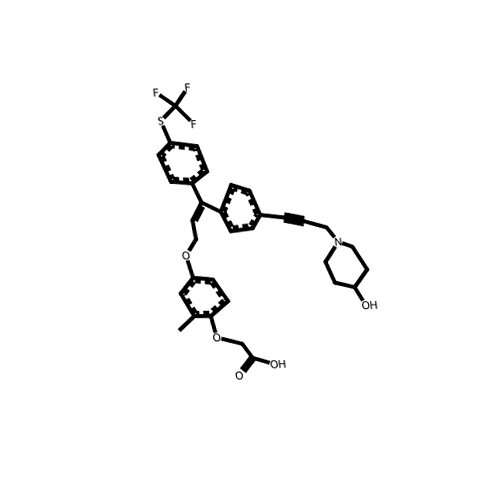 Cc1cc(OC/C=C(\c2ccc(C#CCN3CCC(O)CC3)cc2)c2ccc(SC(F)(F)F)cc2)ccc1OCC(=O)O